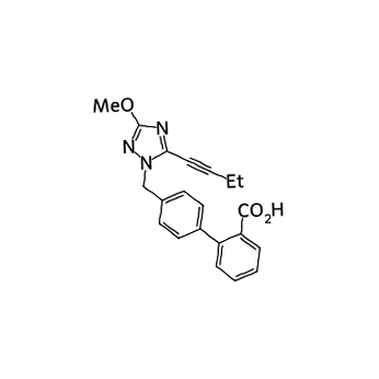 CCC#Cc1nc(OC)nn1Cc1ccc(-c2ccccc2C(=O)O)cc1